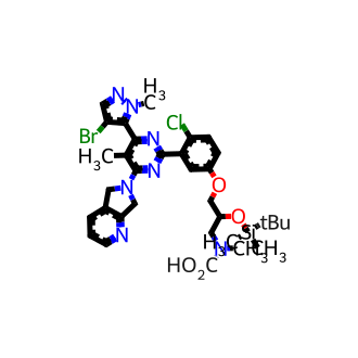 Cc1c(-c2c(Br)cnn2C)nc(-c2cc(OCC(CN(C)C(=O)O)O[Si](C)(C)C(C)(C)C)ccc2Cl)nc1N1Cc2cccnc2C1